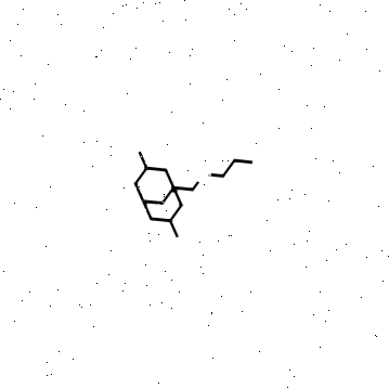 CCCOCC12CC(C)CC(CC(C)C1)C2